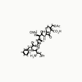 CO/N=C(\C(=O)N[C@@H]1C(=O)N2C(C(=O)O)=C(COC(C)=O)CS[C@H]12)c1csc(NC(=O)[C@H](Cc2ccccc2)NC(=O)[C@@H](N)CC(C)C)n1